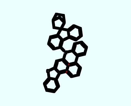 c1ccc(-c2ccccc2N(c2ccc3c(c2)oc2ccccc23)c2cccc3c2-c2ccccc2C32CC3CCC2C3)cc1